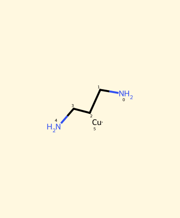 NCCCN.[Cu]